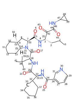 CCC[C@H](NC(=O)[C@@H]1C[C@@H]2CCCC[C@@H]2N1C(=O)[C@@H](NC(=O)[C@@H](NC(=O)c1cccnc1)C1CCCCC1)C(C)(C)C)C(=O)C(=O)NC1CC1